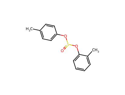 Cc1ccc(OS(=O)Oc2ccccc2C)cc1